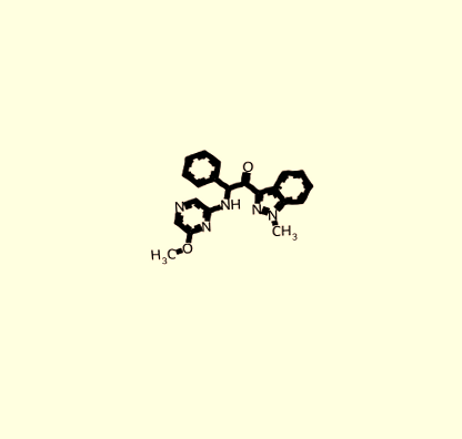 COc1cncc(NC(C(=O)c2nn(C)c3ccccc23)c2ccccc2)n1